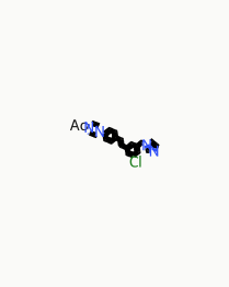 CC(=O)N1CCN(c2ccc(C=Cc3cc(Cl)cc(Cn4ccnc4)c3)cc2)CC1